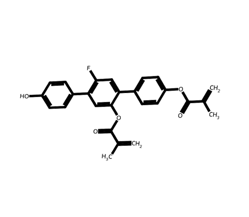 C=C(C)C(=O)Oc1ccc(-c2cc(F)c(-c3ccc(O)cc3)cc2OC(=O)C(=C)C)cc1